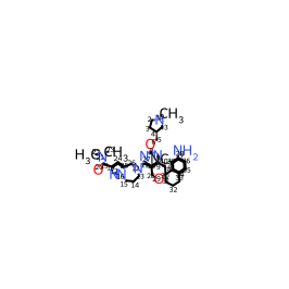 CN1CC[C@H](COc2nc3c(c(N4CCCn5nc(C(=O)N(C)C)cc5C4)n2)COC2(CCCc4ccc(N)c(C#N)c42)C3)C1